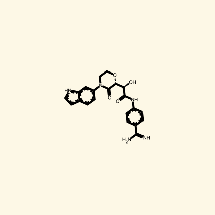 N=C(N)c1ccc(NC(=O)[C@H](O)[C@H]2OCCN(c3ccc4cc[nH]c4c3)C2=O)cc1